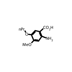 CCCOc1cc(C(=O)O)c(N)cc1OC